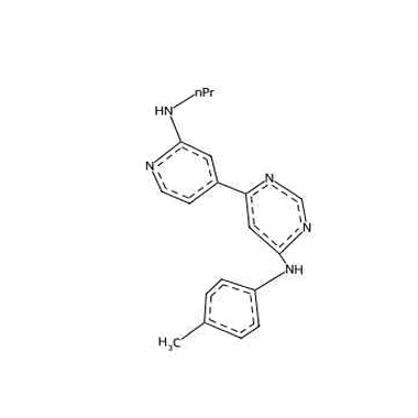 CCCNc1cc(-c2cc(Nc3ccc(C)cc3)ncn2)ccn1